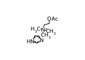 CC(=O)OCC[N+](C)(C)C.c1c[nH]cn1